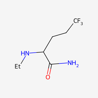 CCNC(CCC(F)(F)F)C(N)=O